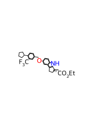 CCOC(=O)C[C@H]1CCc2c1[nH]c1ccc(OCc3ccc(C4CCCC4)c(C(F)(F)F)c3)cc21